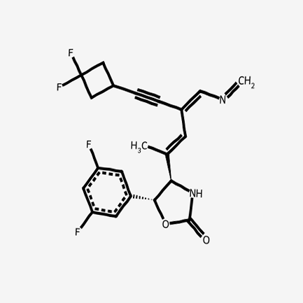 C=N/C=C(C#CC1CC(F)(F)C1)\C=C(/C)[C@H]1NC(=O)O[C@@H]1c1cc(F)cc(F)c1